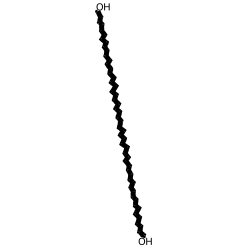 OCCCCCCCCCCCCCCCCCCCCCCCCCCCCCCCCCCCCCCCCCCCCCCCCCCCCO